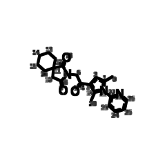 Cc1cc(C(=O)CN2C(=O)CC3(CCCCC3)C2=O)c(C)n1-c1ccccn1